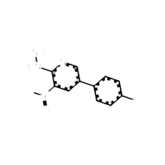 NNc1ncc(-c2ccc(F)cc2)cc1[N+](=O)[O-]